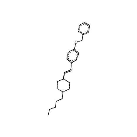 CCCCCC1CCC(C=Cc2ccc(OCc3ccccc3)cc2)CC1